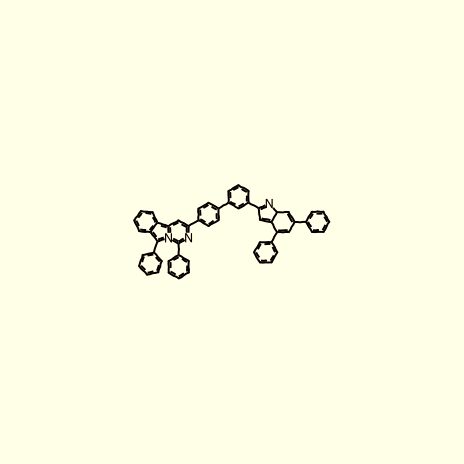 C1=C(c2ccccc2)C=C(c2ccccc2)C2=CC(c3cccc(-c4ccc(-c5cc6c7ccccc7c(-c7ccccc7)n6c(-c6ccccc6)n5)cc4)c3)=NC12